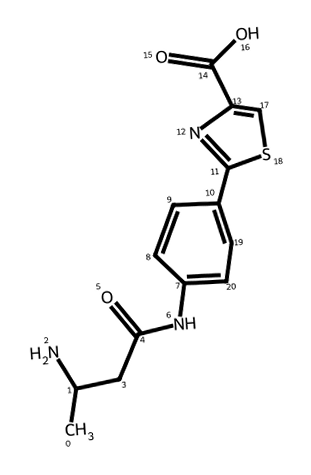 CC(N)CC(=O)Nc1ccc(-c2nc(C(=O)O)cs2)cc1